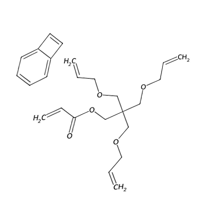 C1=Cc2ccccc21.C=CCOCC(COCC=C)(COCC=C)COC(=O)C=C